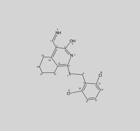 N=Cc1c(O)nc(SCc2c(Cl)cccc2Cl)c2c1CCCC2